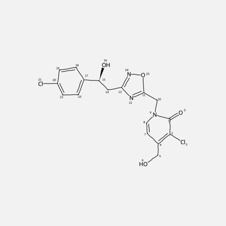 O=c1c(Cl)c(CO)ccn1Cc1nc(C[C@H](O)c2ccc(Cl)cc2)no1